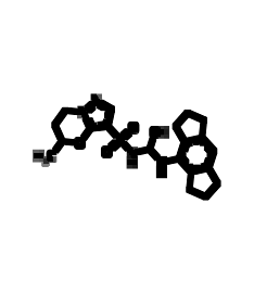 CC1CCn2ncc(S(=O)(=O)NC(O)Nc3c4c(cc5c3CCC5)CCC4)c2O1